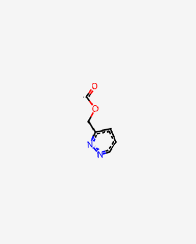 O=[C]OCc1cccnn1